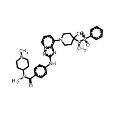 CN1CCC(N(C)C(=O)c2ccc(Nc3nc4c(N5CCC(C)(N(C)S(=O)(=O)c6ccccc6)CC5)cccn4n3)cc2)CC1